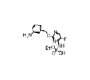 CCOP(=O)(O)Nc1nc(OCc2cccc(N)c2)ncc1F